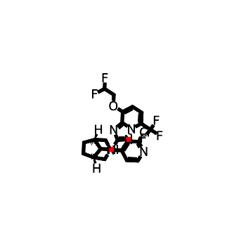 FC(F)COc1ccc(C(F)(F)F)n2nc(NC3[C@@H]4CC[C@H]3CN(c3ccnc(Cl)c3)C4)nc12